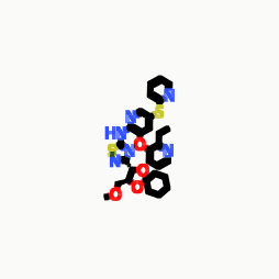 CCc1ncccc1Oc1cc(Sc2ccccn2)cnc1Nc1nc([C@@H]2OC3(CCCCC3)O[C@H]2COC)ns1